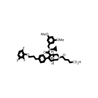 COc1cc(CN(C(=O)C2=C(c3ccc(CCCOc4c(F)ccc(F)c4F)cc3)C[C@@H]3CN(C(=O)CCCC(=O)O)C[C@H]2N3)C2CC2)cc(OC)c1